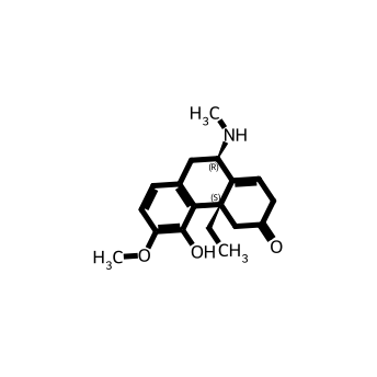 CC[C@]12CC(=O)CC=C1[C@H](NC)Cc1ccc(OC)c(O)c12